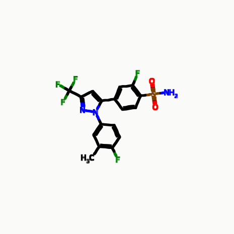 Cc1cc(-n2nc(C(F)(F)F)cc2-c2ccc(S(N)(=O)=O)c(F)c2)ccc1F